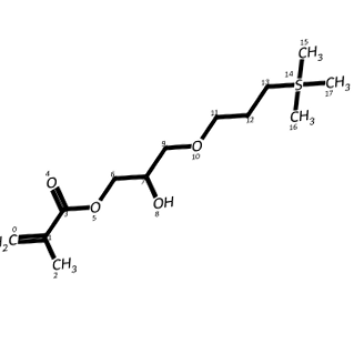 C=C(C)C(=O)OCC(O)COCCCS(C)(C)C